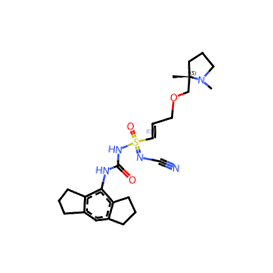 CN1CCC[C@@]1(C)COC/C=C/S(=O)(=NC#N)NC(=O)Nc1c2c(cc3c1CCC3)CCC2